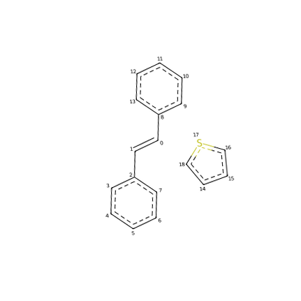 C(=Cc1ccccc1)c1ccccc1.c1ccsc1